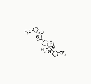 CC(C)(C1CCN(C(=O)CS(=O)(=O)c2cccc(C(F)(F)F)c2)CC1)S(=O)(=O)c1cccc(C(F)(F)F)c1